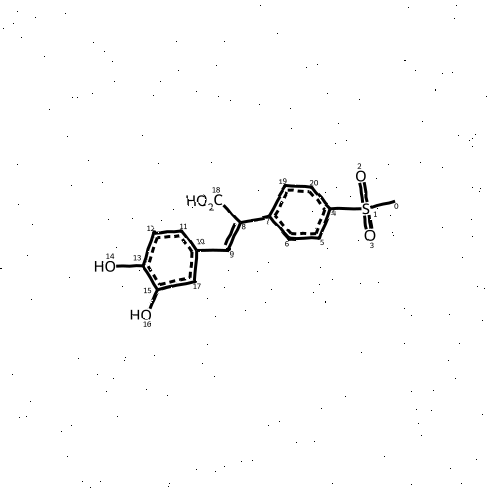 CS(=O)(=O)c1ccc(C(=Cc2ccc(O)c(O)c2)C(=O)O)cc1